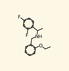 CCOc1ccccc1CNC(C)c1ccc(F)cc1F